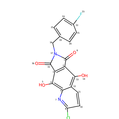 O=C1c2c(c(O)c3nc(Cl)ccc3c2O)C(=O)N1Cc1ccc(F)cc1